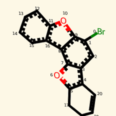 Brc1cc2c3c(oc2c2c1oc1ccccc12)CCC=C3